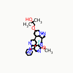 COc1ncc(CN2C3CC2CN(c2ccc(-c4cc(OCC(C)(C)O)cn5ncc(C#N)c45)cn2)C3)cc1F